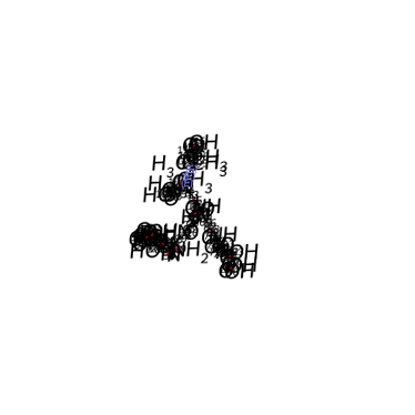 CC[N+]1=C(/C=C/C=C/C=C2/N(CCCCCC(=O)NC(CSSCCC(=O)NCC#Cc3cn(C4CC(O)C(COP(=O)(O)OP(=O)(O)OP(=O)(O)O)O4)c4ncnc(N)c34)C(=O)NCCCCCC(=O)NCCn3c(=O)ccn(C4CC(O)C(COP(=O)(O)O)O4)c3=O)c3ccc(S(=O)(=O)O)cc3C2(C)C)C(C)(C)c2cc(S(=O)(=O)O)ccc21